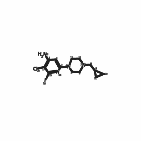 Nc1cc(N2CCN(CC3CC3)CC2)nc(F)c1Cl